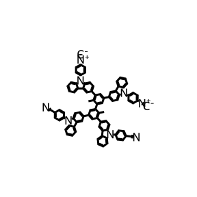 [C-]#[N+]c1ccc(-n2c3ccccc3c3cc(-c4cc(-c5ccc6c(c5)c5ccccc5n6-c5ccc([N+]#[C-])cc5)c(C)c(-c5cc(-c6ccc7c(c6)c6ccccc6n7-c6ccc(C#N)cc6)cc(-c6ccc7c(c6)c6ccccc6n7-c6ccc(C#N)cc6)c5C)c4)ccc32)cc1